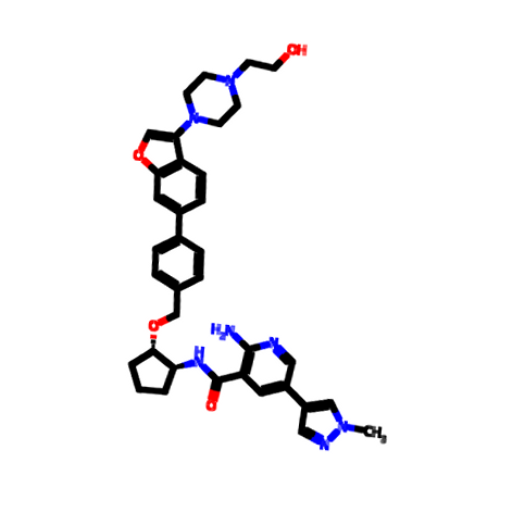 Cn1cc(-c2cnc(N)c(C(=O)N[C@H]3CCC[C@@H]3OCc3ccc(-c4ccc5c(N6CCN(CCO)CC6)coc5c4)cc3)c2)cn1